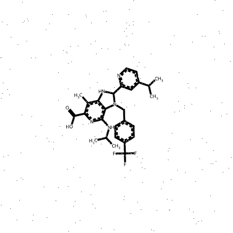 Cc1c(C(=O)O)nc(NC(C)C)c2c1NC(c1cc(C(C)C)ccn1)N2Cc1ccc(C(F)(F)F)cc1